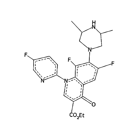 CCOC(=O)c1cn(-c2ccc(F)cn2)c2c(F)c(N3CC(C)NC(C)C3)c(F)cc2c1=O